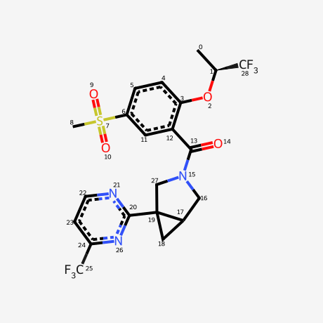 C[C@H](Oc1ccc(S(C)(=O)=O)cc1C(=O)N1CC2CC2(c2nccc(C(F)(F)F)n2)C1)C(F)(F)F